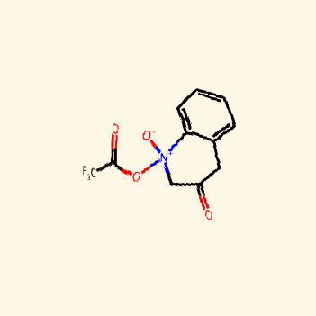 O=C1Cc2ccccc2[N+]([O-])(OC(=O)C(F)(F)F)C1